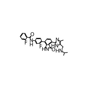 Cc1nc(-c2ccc(-c3ccc(NC(=O)c4ccccc4F)cc3F)c3c2C(=O)NC3)[nH]c1CNC(C)C